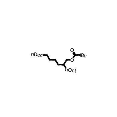 CCCCCCCCCCCCCCC(CCCCCCCC)COC(=O)C(C)CC